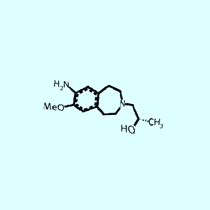 COc1cc2c(cc1N)CCN(C[C@H](C)O)CC2